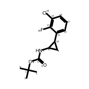 CC(C)(C)OC(=O)NC1CC1c1cccc(Cl)c1F